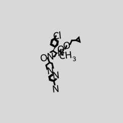 CN(OCOCCC1CC1)[C@@H]1CN(C(=O)C2CCN(c3ccc(C#N)cn3)CC2)C[C@H]1c1ccc(Cl)cc1